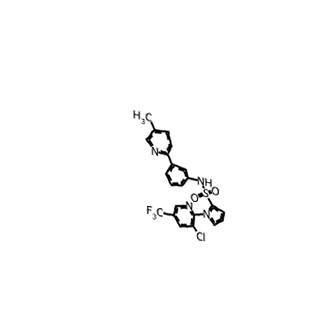 Cc1ccc(-c2cccc(NS(=O)(=O)c3cccn3-c3ncc(C(F)(F)F)cc3Cl)c2)nc1